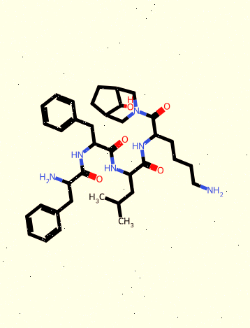 CC(C)CC(NC(=O)C(Cc1ccccc1)NC(=O)C(N)Cc1ccccc1)C(=O)NC(CCCCN)C(=O)N1CC2CCC(C1)C2O